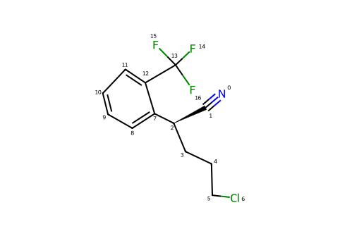 N#C[C@@H](CCCCl)c1ccccc1C(F)(F)F